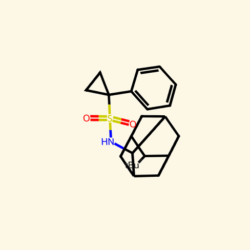 CC(C)(C)C1C2CC3CC1CC(C2)C3NS(=O)(=O)C1(c2ccccc2)CC1